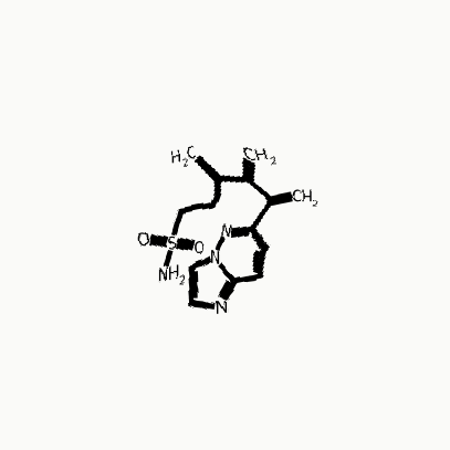 C=C(CCS(N)(=O)=O)C(=C)C(=C)c1ccc2nccn2n1